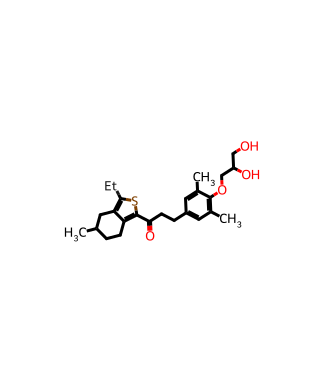 CCc1sc(C(=O)CCc2cc(C)c(OCC(O)CO)c(C)c2)c2c1CC(C)CC2